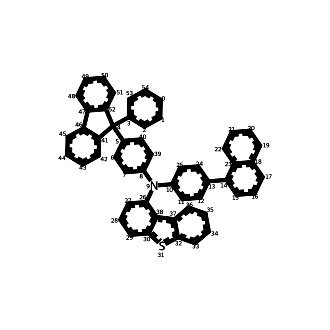 c1ccc(C2(c3ccc(N(c4ccc(-c5cccc6ccccc56)cc4)c4cccc5sc6ccccc6c45)cc3)c3ccccc3-c3ccccc32)cc1